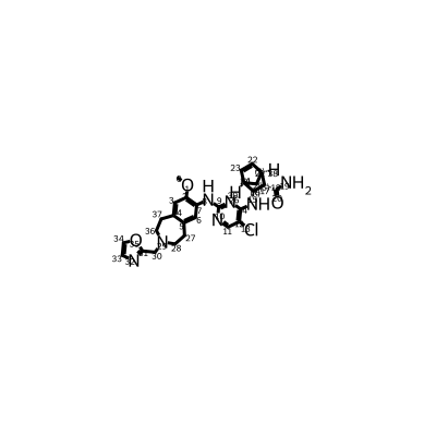 COc1cc2c(cc1Nc1ncc(Cl)c(N[C@H]3[C@@H](C(N)=O)[C@@H]4C=C[C@H]3C4)n1)CCN(Cc1ncco1)CC2